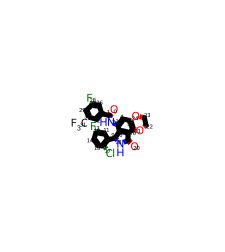 O=C(Nc1cc2c(c3c1C(c1cc(F)ccc1Cl)NC3=O)OCCO2)c1cc(F)cc(C(F)(F)F)c1